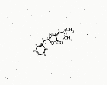 CN(C)C=C1N=C(Cc2ccccc2)OC1=O